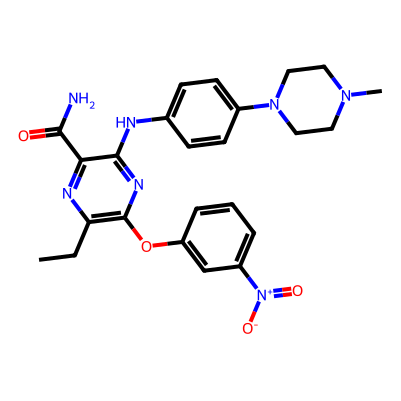 CCc1nc(C(N)=O)c(Nc2ccc(N3CCN(C)CC3)cc2)nc1Oc1cccc([N+](=O)[O-])c1